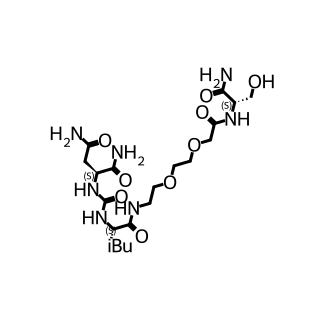 CCC(C)[C@H](NC(=O)N[C@@H](CC(N)=O)C(N)=O)C(=O)NCCOCCOCC(=O)N[C@@H](CO)C(N)=O